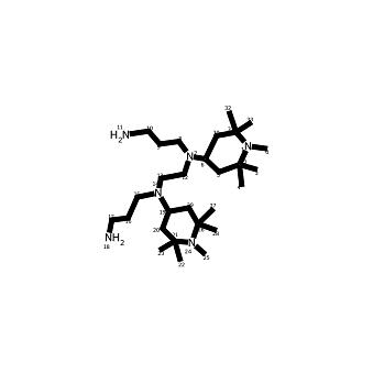 CN1C(C)(C)CC(N(CCCN)CCN(CCCN)C2CC(C)(C)N(C)C(C)(C)C2)CC1(C)C